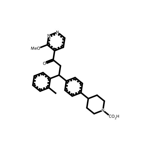 COc1nnccc1C(=O)CC(c1ccc(C2CCN(C(=O)O)CC2)cc1)c1ccccc1C